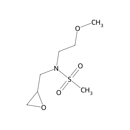 COCCN(CC1CO1)S(C)(=O)=O